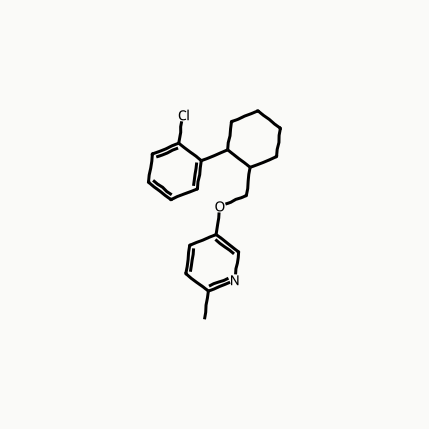 Cc1ccc(OCC2CCCCC2c2ccccc2Cl)cn1